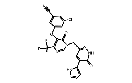 N#Cc1cc(Cl)cc(Oc2c(C(F)(F)F)ncn(Cc3cc(-c4ccn[nH]4)c(=O)[nH]n3)c2=O)c1